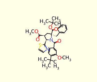 COC(=O)[C@H]1C[C@@](Cc2ccccc2)(C(=O)OC(C)(C)C)N(C(=O)c2ccc(C(C)(C)C)c(OC)c2)[C@H]1c1nccs1